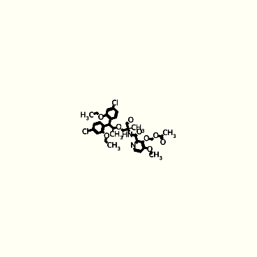 CCOc1cc(Cl)ccc1C(c1ccc(Cl)cc1OCC)[C@H](C)OC[C@@](C)(C=O)NC(=O)c1nccc(OC)c1OCOC(C)=O